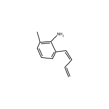 C=C/C=C\c1cccc(C)c1N